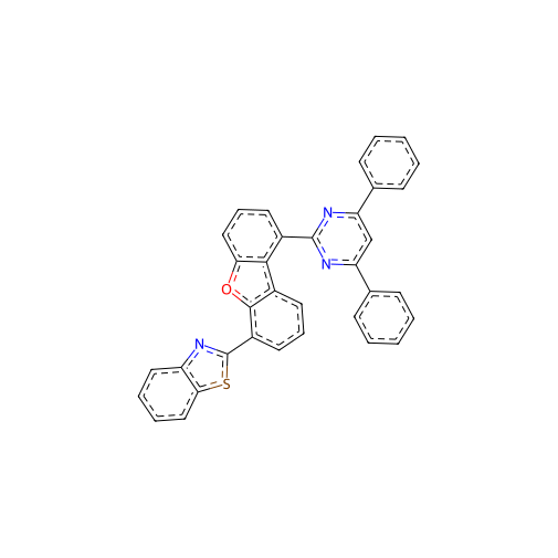 c1ccc(-c2cc(-c3ccccc3)nc(-c3cccc4oc5c(-c6nc7ccccc7s6)cccc5c34)n2)cc1